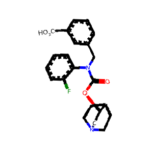 O=C(O)c1cccc(CN(C(=O)OC2CN3CCC2CC3)c2ccccc2F)c1